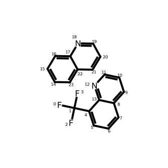 FC(F)(F)c1cccc2cccnc12.c1ccc2ncccc2c1